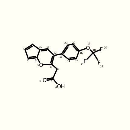 O=C(O)Cc1oc2cccc-2cc1-c1ccc(OC(F)(F)F)cc1